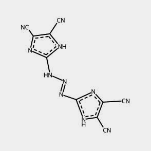 N#Cc1nc(N=NNc2nc(C#N)c(C#N)[nH]2)[nH]c1C#N